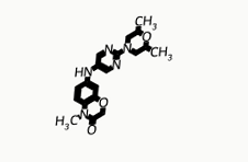 CC1CN(c2ncc(Nc3ccc4c(c3)OCC(=O)N4C)cn2)CC(C)O1